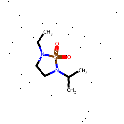 CCN1CCN(C(C)C)S1(=O)=O